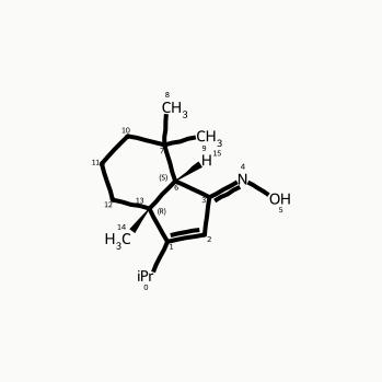 CC(C)C1=CC(=NO)[C@H]2C(C)(C)CCC[C@@]12C